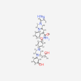 Cc1n[nH]cc1N1CCN(c2cccc(Oc3ccc(N4CCN(c5cccc(O)c5)C(CC(C)O)C4)cc3)c2)C(CCC(N)=O)C1